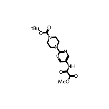 COC(=O)C(=O)Nc1cnc(N2CCN(C(=O)OC(C)(C)C)CC2)nc1